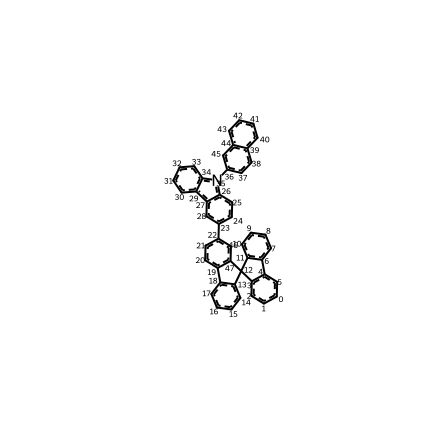 c1ccc2c(c1)-c1ccccc1C21c2ccccc2-c2ccc(-c3ccc4c(c3)c3ccccc3n4-c3ccc4ccccc4c3)cc21